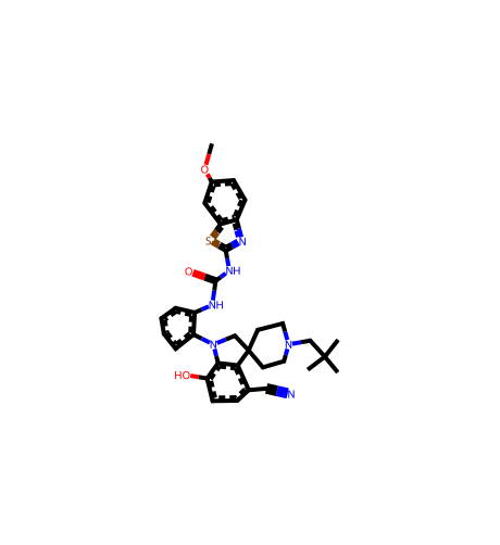 COc1ccc2nc(NC(=O)Nc3ccccc3N3CC4(CCN(CC(C)(C)C)CC4)c4c(C#N)ccc(O)c43)sc2c1